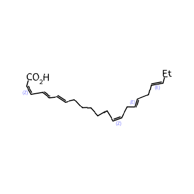 CC/C=C/C/C=C/C/C=C\CCCCCC=CC=C/C=C\C(=O)O